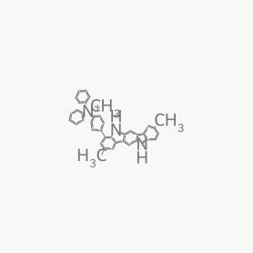 Cc1ccc2[nH]c3cc4c(cc3c2c1)[nH]c1c(-c2ccc([N+](C)(c3ccccc3)c3ccccc3)cc2)cc(C)cc14